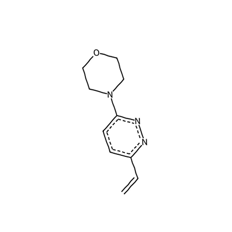 C=Cc1ccc(N2CCOCC2)nn1